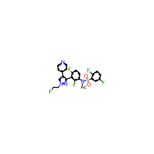 CC(=O)N(c1ccc(F)c(-c2nn(CCF)cc2-c2ccncc2)c1F)S(=O)(=O)c1cc(F)ccc1F